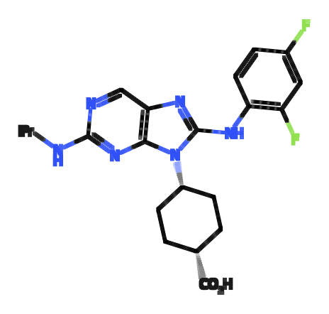 CC(C)Nc1ncc2nc(Nc3ccc(F)cc3F)n([C@H]3CC[C@@H](C(=O)O)CC3)c2n1